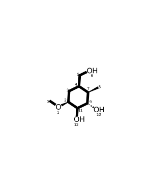 CO[C@H]1CC(CO)[C@@H](C)[C@H](O)C1O